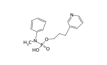 CN(c1ccccc1)P(=O)(O)OCCCc1cccnc1